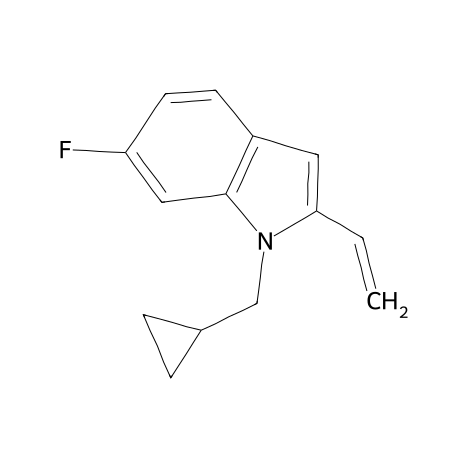 C=Cc1cc2ccc(F)cc2n1CC1CC1